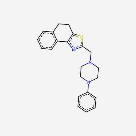 c1ccc(N2CCN(Cc3nc4c(s3)CCc3ccccc3-4)CC2)cc1